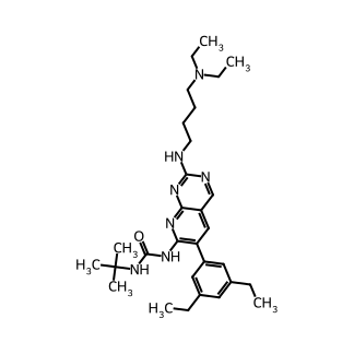 CCc1cc(CC)cc(-c2cc3cnc(NCCCCN(CC)CC)nc3nc2NC(=O)NC(C)(C)C)c1